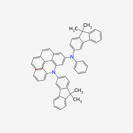 CC1(C)c2ccccc2-c2cc(N(c3ccccc3)c3cc(N(c4ccccc4)c4ccc5c(c4)-c4ccccc4C5(C)C)c4c(ccc5ccccc54)c3)ccc21